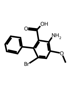 COc1cc(Br)c(-c2ccccc2)c(C(=O)O)c1N